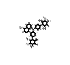 [2H]c1c([2H])c([2H])c(-c2ccc(N(c3ccc(-c4c([2H])c([2H])c([2H])c([2H])c4[2H])cc3)c3cccc4c(Br)cccc34)cc2)c([2H])c1[2H]